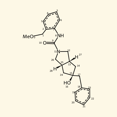 COCc1ccccc1NC(=O)N1C[C@@H]2C[C@](O)(Cc3ccccc3)C[C@@H]2C1